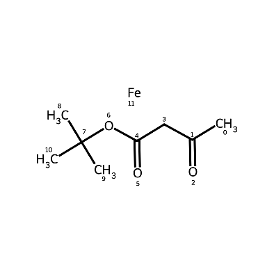 CC(=O)CC(=O)OC(C)(C)C.[Fe]